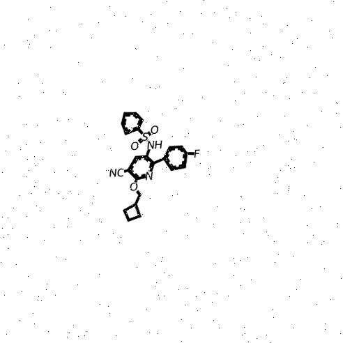 N#Cc1cc(NS(=O)(=O)c2ccccc2)c(-c2ccc(F)cc2)nc1OCC1CCC1